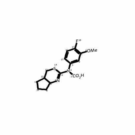 COc1cc(N(C(=O)O)C2=NC3CCCC3CS2)ccc1F